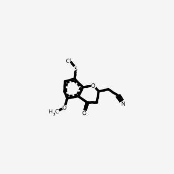 COc1ccc(SCl)c2c1C(=O)CC(CC#N)O2